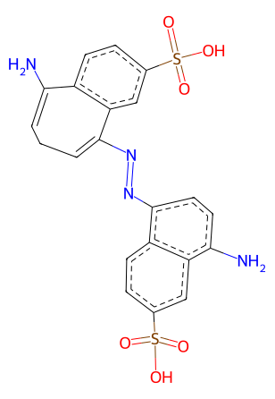 NC1=CCC=C(N=Nc2ccc(N)c3cc(S(=O)(=O)O)ccc23)c2cc(S(=O)(=O)O)ccc21